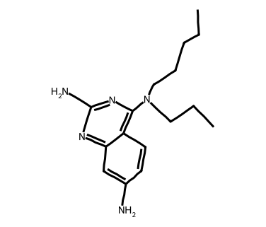 CCCCCN(CCC)c1nc(N)nc2cc(N)ccc12